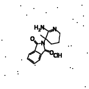 CC1(N2C(=O)c3ccccc3C2=O)CCCN=C1N.Cl